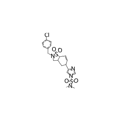 CN(C)S(=O)(=O)n1cnc(C2C=CC3C(C2)CN(Cc2ccc(Cl)cc2)S3(=O)=O)c1